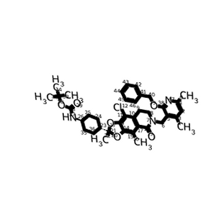 Cc1cc(C)c(CN2CCc3c(Cl)c4c(c(C)c3C2=O)OC(C)([C@H]2CC[C@H](NC(=O)OC(C)(C)C)CC2)O4)c(OCc2ccccc2)n1